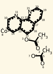 CC(=O)[O-].CC(=O)[O-].[Co+2].c1cnc2c(c1)ccc1cccnc12